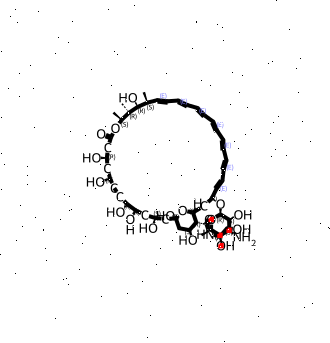 C[C@@H]1[C@H](O)[C@@H](C)/C=C/C=C/C=C/C=C/C=C/C=C/C=C/[C@H](O[C@@H]2O[C@H](C)[C@@H](O)[C@H](N)[C@@H]2O)C[C@@H]2O[C@](O)(C[C@@H](O)C[C@@H](O)[C@H](O)CC[C@@H](O)C[C@@H](O)CC(=O)O[C@H]1C)C[C@H](O)[C@H]2C(=O)N[C@H](C)CO